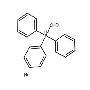 O=C[PH](c1ccccc1)(c1ccccc1)c1ccccc1.[Ni]